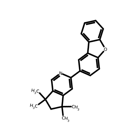 CC1(C)CC(C)(C)c2cc(-c3ccc4oc5ccccc5c4c3)ncc21